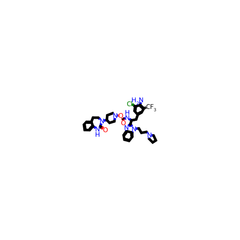 Nc1c(Cl)cc(CC(NC(=O)ON2CCC(N3CCc4ccccc4NC3=O)CC2)c2nc3ccccc3n2CCCN2CCCC2)cc1C(F)(F)F